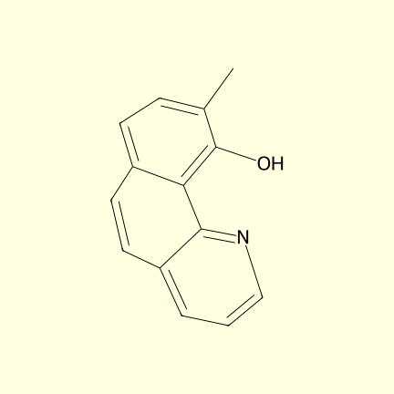 Cc1ccc2ccc3cccnc3c2c1O